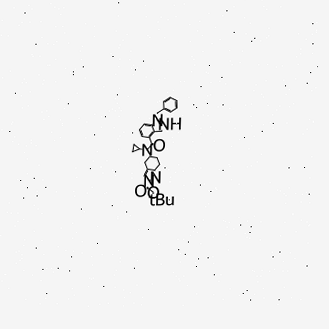 CC(C)(C)OC(=O)n1cc2c(n1)CCC(N(C(=O)c1cccc3c1CNN3Cc1ccccc1)C1CC1)C2